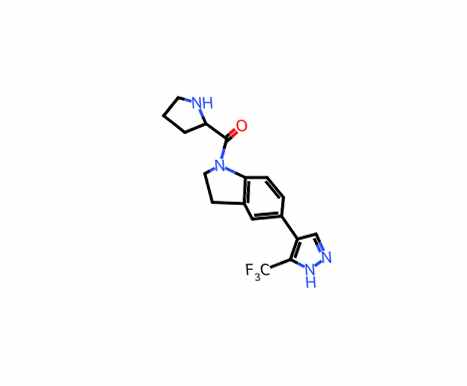 O=C(C1CCCN1)N1CCc2cc(-c3cn[nH]c3C(F)(F)F)ccc21